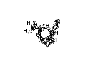 COc1nn(C)cc1C(=O)N[S@@]1(=O)=NC(=O)c2ccc3c(c2)N(C[C@@H]2CC[C@H]2[C@@](O)(CC(=O)N2CCN(C4COC4)CC2)/C=C/C[C@H](C)C1)C[C@@]1(CCCc2cc(Cl)ccc21)CO3